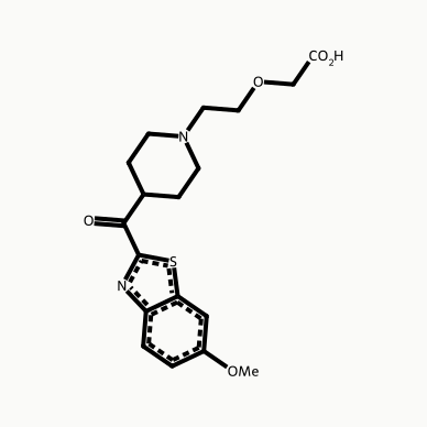 COc1ccc2nc(C(=O)C3CCN(CCOCC(=O)O)CC3)sc2c1